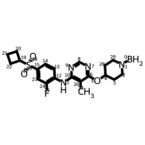 BN1CCC(Oc2ncnc(Nc3ccc(S(=O)(=O)C4CCC4)cc3F)c2C)CC1